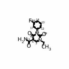 CCn1cc(C(N)=O)c(=O)n(-c2cccc(F)c2)c1=O